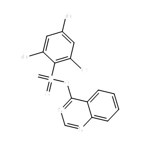 CC(C)c1cc(C(C)C)c(S(=O)(=O)Oc2ncnc3ccccc23)c(C(C)C)c1